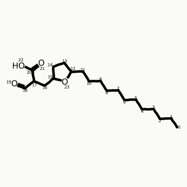 CCCCCCCCCCCCC1CCC(CC(C=O)C(=O)O)O1